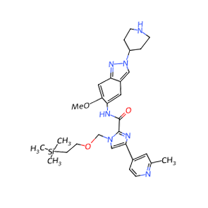 COc1cc2nn(C3CCNCC3)cc2cc1NC(=O)c1nc(-c2ccnc(C)c2)cn1COCC[Si](C)(C)C